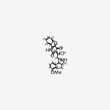 COc1cccc2c1CCC1CNC(CCn3c(=O)[nH]c4c(oc5ccccc54)c3=O)C21.Cl